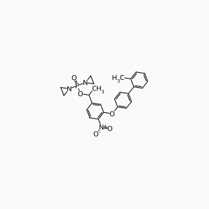 Cc1ccccc1-c1ccc(Oc2cc(C(C)OP(=O)(N3CC3)N3CC3)ccc2[N+](=O)[O-])cc1